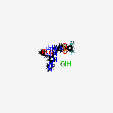 CN1CCN(c2ccc(C(=O)Nc3n[nH]c4c3CN(S(=O)(=O)c3cc(F)cc(F)c3)C4(C)C)c(NCc3ccco3)c2)CC1.Cl